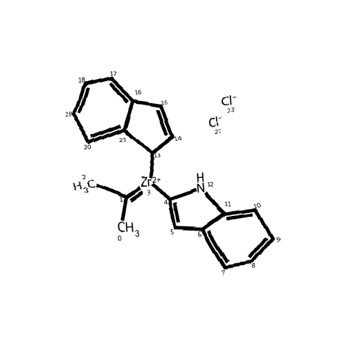 C[C](C)=[Zr+2]([c]1cc2ccccc2[nH]1)[CH]1C=Cc2ccccc21.[Cl-].[Cl-]